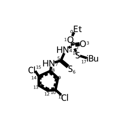 CCOP(=O)(NC(=S)Nc1cc(Cl)ccc1Cl)SC(C)CC